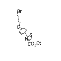 CCOC(=O)c1csc(-c2ccc(OCCCCBr)cc2)n1